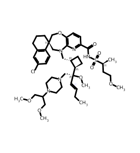 CC/C=C/[C@](CN1CCN(C(COC)COC)CC1)(OC)[C@@H]1CC[C@H]1CN1C[C@@]2(CCCc3cc(Cl)ccc32)COc2ccc(C(=O)NS(=O)(=O)[C@@H](C)CCOC)nc21